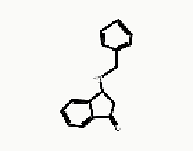 O=C1CC(NCc2ccccc2)c2ccccc21